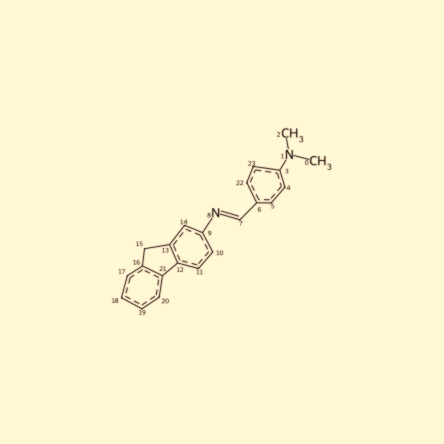 CN(C)c1ccc(/C=N/c2ccc3c(c2)Cc2ccccc2-3)cc1